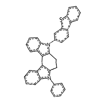 c1ccc(-n2c3c(c4ccccc42)-c2c(n(-c4ccc5c(c4)sc4ccccc45)c4ccccc24)CC3)cc1